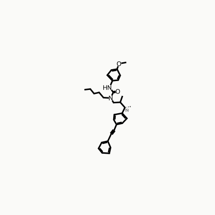 CCCCCN(CC(C)[C@H](C)c1ccc(C#Cc2ccccc2)cc1)C(=O)Nc1ccc(OC)cc1